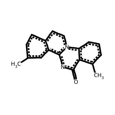 Cc1ccc2ccn3c4cccc(C)c4c(=O)nc3c2c1